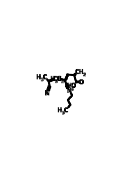 C=C(C)C#N.C=C(C=C(C)C#[N+]CCCC)C(=O)O